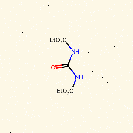 CCOC(=O)NC(=O)NC(=O)OCC